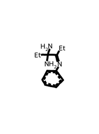 CC/C(=N/c1ccccc1)C(N)(N)CC